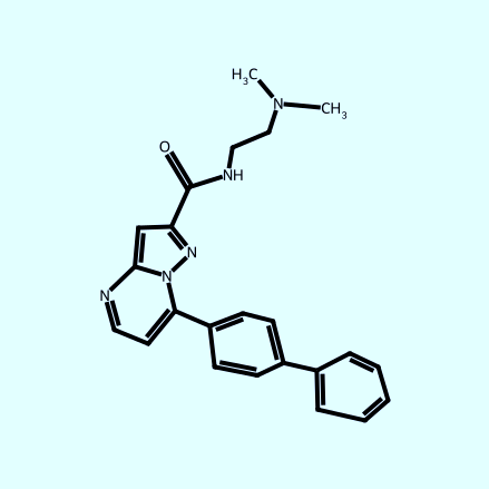 CN(C)CCNC(=O)c1cc2nccc(-c3ccc(-c4ccccc4)cc3)n2n1